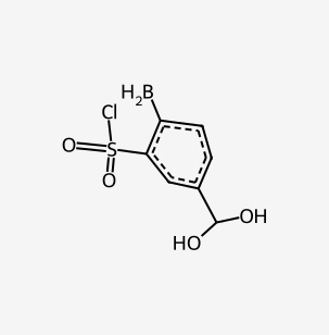 Bc1ccc(C(O)O)cc1S(=O)(=O)Cl